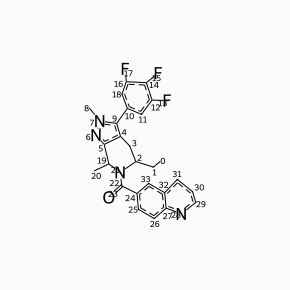 CCC1Cc2c(nn(C)c2-c2cc(F)c(F)c(F)c2)C(C)N1C(=O)c1ccc2ncccc2c1